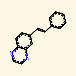 C(=Cc1ccc2nccnc2c1)c1ccccc1